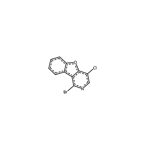 Clc1cnc(Br)c2c1oc1ccccc12